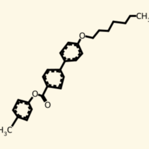 CCCCCCCOc1ccc(-c2ccc(C(=O)Oc3ccc(C)cc3)cc2)cc1